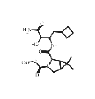 CC(C)(C)OC(=O)N1CC2C(C1C(=O)NC(CC1CCC1)C(O)C(N)=O)C2(C)C